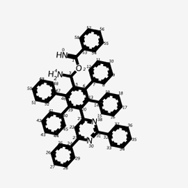 N=C(OC(N)c1c(-c2ccccc2)c(-c2ccccc2)c(-c2cc(-c3ccccc3)nc(-c3ccccc3)n2)c(-c2ccccc2)c1-c1ccccc1)c1ccccc1